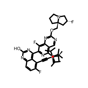 CC(C)[Si](C#Cc1c(F)ccc2nc(O)nc(-c3nc(N4CC[C@@H]4C)c4cnc(OC[C@@]56CCCN5C[C@H](F)C6)nc4c3F)c12)(C(C)C)C(C)C